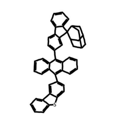 c1ccc2c(c1)-c1ccc(-c3c4ccccc4c(-c4ccc5sc6ccccc6c5c4)c4ccccc34)cc1C21C2CC3CC(C2)CC1C3